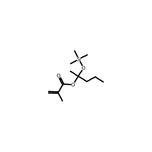 C=C(C)C(=O)OC(C)(CCC)O[Si](C)(C)C